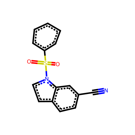 N#Cc1ccc2ccn(S(=O)(=O)c3ccccc3)c2c1